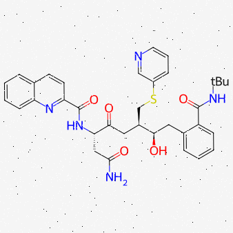 CC(C)(C)NC(=O)c1ccccc1C[C@@H](O)[C@H](CSc1cccnc1)CC(=O)[C@H](CC(N)=O)NC(=O)c1ccc2ccccc2n1